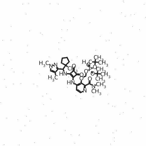 Cc1cn(C)nc1C(Nc1c(Nc2ccnc(C(=O)N(C)C)c2OCOP(=O)(OC(C)(C)C)OC(C)(C)C)c(=O)c1=O)C1(C)CCCC1